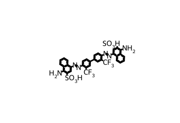 Nc1c(S(=O)(=O)O)cc(/N=N/c2ccc(-c3ccc(/N=N/c4cc(S(=O)(=O)O)c(N)c5ccccc45)c(C(F)(F)F)c3)cc2C(F)(F)F)c2ccccc12